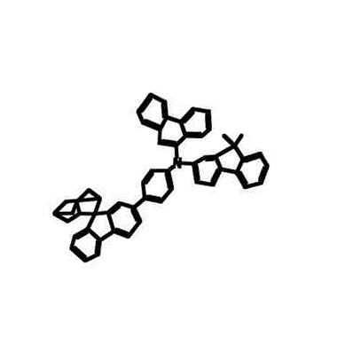 CC1(C)c2ccccc2-c2ccc(N(c3ccc(-c4ccc5c(c4)C4(c6ccccc6-5)C5CC6CC(C5)C4C6)cc3)c3cc4ccccc4c4ccccc34)cc21